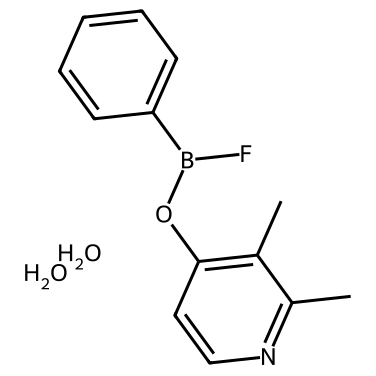 Cc1nccc(OB(F)c2ccccc2)c1C.O.O